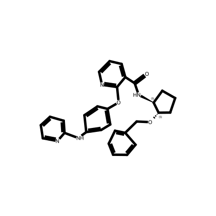 O=C(N[C@H]1CCC[C@@H]1OCc1ccccc1)c1cccnc1Oc1ccc(Nc2ccccn2)cc1